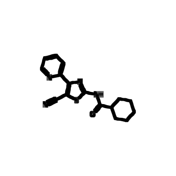 N#Cc1sc(NC(=O)C2CCCCC2)nc1-c1ccccn1